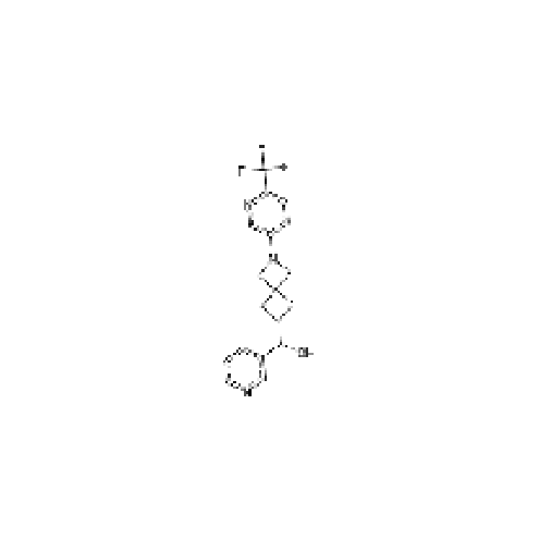 OC(c1cccnc1)C1CC2(C1)CN(c1ccc(C(F)(F)F)nc1)C2